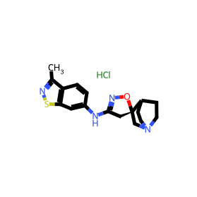 Cc1nsc2cc(NC3=NO[C@@]4(C3)CN3CCC4CC3)ccc12.Cl